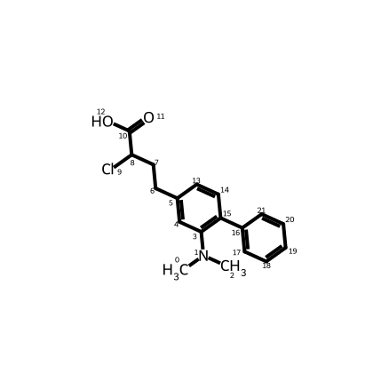 CN(C)c1cc(CCC(Cl)C(=O)O)ccc1-c1ccccc1